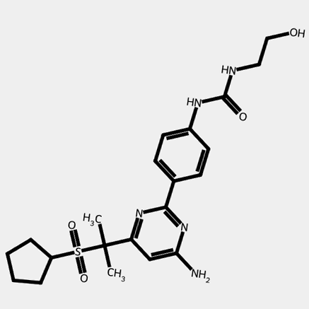 CC(C)(c1cc(N)nc(-c2ccc(NC(=O)NCCO)cc2)n1)S(=O)(=O)C1CCCC1